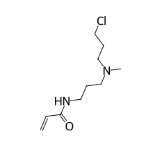 C=CC(=O)NCCCN(C)CCCCl